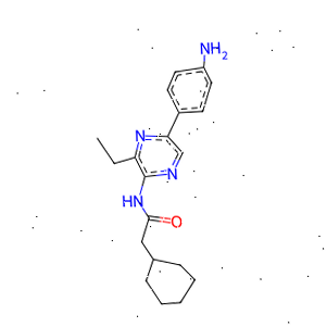 CCc1nc(-c2ccc(N)cc2)cnc1NC(=O)CC1CCCCC1